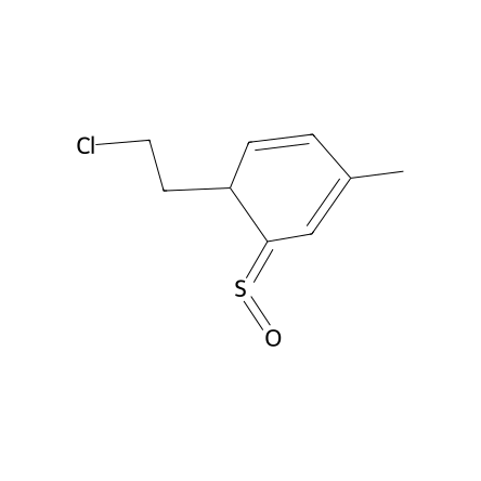 CC1=CC(=S=O)C(CCCl)C=C1